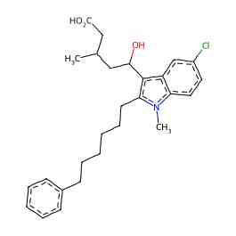 CC(CC(=O)O)CC(O)c1c(CCCCCCc2ccccc2)n(C)c2ccc(Cl)cc12